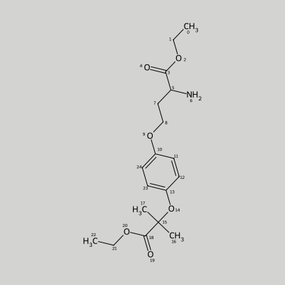 CCOC(=O)C(N)CCOc1ccc(OC(C)(C)C(=O)OCC)cc1